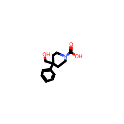 O=C(O)N1CCC(CO)(c2ccccc2)CC1